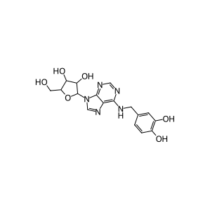 OCC1OC(n2cnc3c(NCc4ccc(O)c(O)c4)ncnc32)C(O)C1O